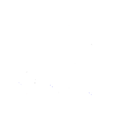 CCN(c1cc(-c2cc3c(cc2F)C2(C=C3)CCOCC2)cc(C(=O)NCc2c(OC)cc(C)[nH]c2=O)c1C)C1CCOCC1